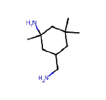 CC1(C)CC(CN)CC(C)(N)C1